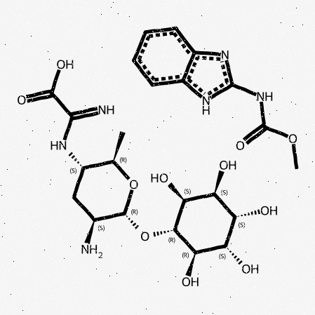 COC(=O)Nc1nc2ccccc2[nH]1.C[C@H]1O[C@H](O[C@H]2[C@H](O)[C@@H](O)[C@@H](O)[C@H](O)[C@@H]2O)[C@@H](N)C[C@@H]1NC(=N)C(=O)O